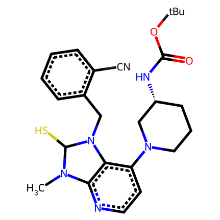 CN1c2nccc(N3CCC[C@@H](NC(=O)OC(C)(C)C)C3)c2N(Cc2ccccc2C#N)C1S